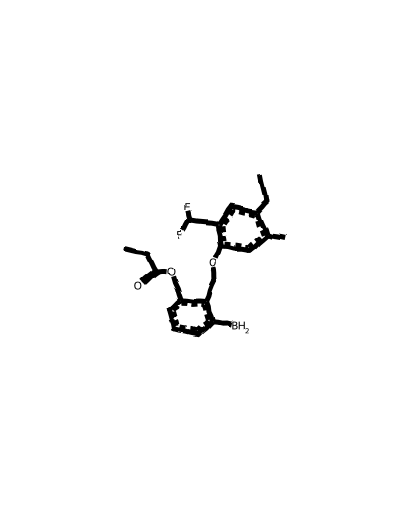 Bc1cccc(OC(=O)CC)c1COc1cc(C)c(CC)cc1C(F)F